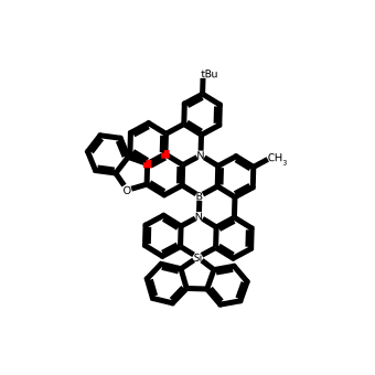 Cc1cc2c3c(c1)N(c1ccc(C(C)(C)C)cc1-c1ccccc1)c1cc4c(cc1B3N1c3ccccc3[Si]3(c5ccccc5-c5ccccc53)c3cccc-2c31)oc1ccccc14